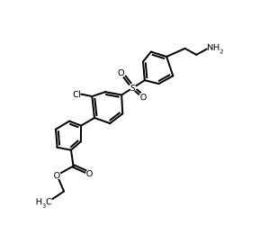 CCOC(=O)c1cccc(-c2ccc(S(=O)(=O)c3ccc(CCN)cc3)cc2Cl)c1